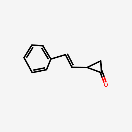 O=C1CC1/C=C/c1ccccc1